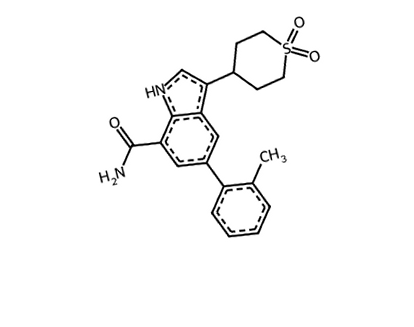 Cc1ccccc1-c1cc(C(N)=O)c2[nH]cc(C3CCS(=O)(=O)CC3)c2c1